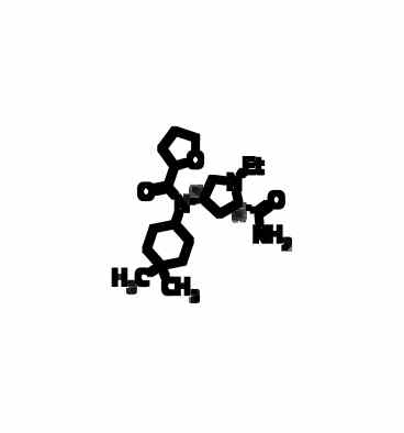 CCN1C[C@@H](N(C(=O)C2CCCO2)C2CCC(C)(C)CC2)C[C@H]1C(N)=O